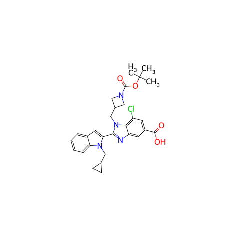 CC(C)(C)OC(=O)N1CC(Cn2c(-c3cc4ccccc4n3CC3CC3)nc3cc(C(=O)O)cc(Cl)c32)C1